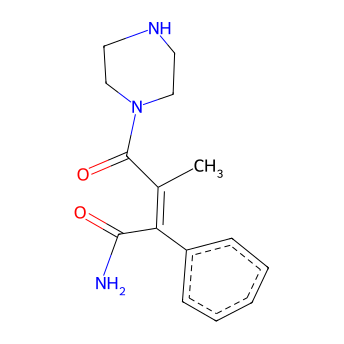 CC(C(=O)N1CCNCC1)=C(C(N)=O)c1ccccc1